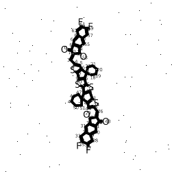 O=C1C(=Cc2cc3c(s2)-c2sc4c5c(sc4c2C32CCCCC2)-c2sc(C=C3C(=O)c4cc6cc(F)c(F)cc6cc4C3=O)cc2C52CCCCC2)C(=O)c2cc3cc(F)c(F)cc3cc21